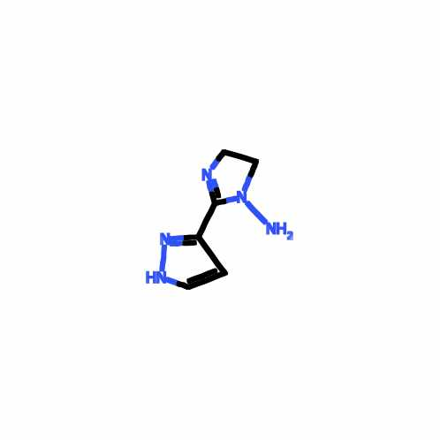 NN1CCN=C1c1cc[nH]n1